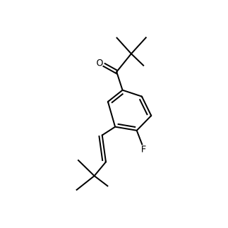 CC(C)(C)/C=C/c1cc(C(=O)C(C)(C)C)ccc1F